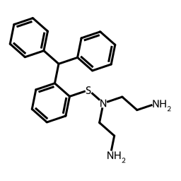 NCCN(CCN)Sc1ccccc1C(c1ccccc1)c1ccccc1